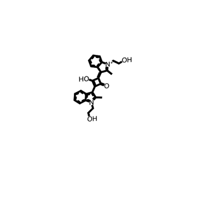 CC1=[N+](CCO)c2ccccc2/C1=C1/C(=O)C(c2c(C)n(CCO)c3ccccc23)=C1O